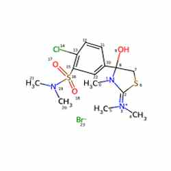 CN1C(=[N+](C)C)SCC1(O)c1ccc(Cl)c(S(=O)(=O)N(C)C)c1.[Br-]